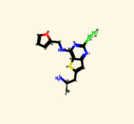 CC(C)[C@H](N)Cc1cc2nc(Cl)nc(NCc3ccco3)c2s1.Cl.Cl